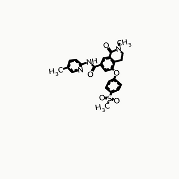 Cc1ccc(NC(=O)c2cc(Oc3ccc(S(C)(=O)=O)cc3)c3c(c2)C(=O)N(C)CC3)nc1